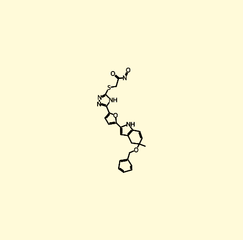 CC1(OCc2ccccc2)C=Cc2[nH]c(-c3ccc(-c4nnc(SCC(=O)N=O)[nH]4)o3)cc2C1